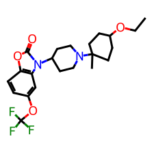 CCOC1CCC(C)(N2CCC(n3c(=O)oc4ccc(OC(F)(F)F)cc43)CC2)CC1